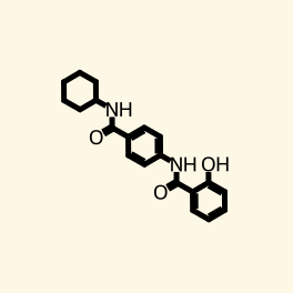 O=C(NC1CCCCC1)c1ccc(NC(=O)c2ccccc2O)cc1